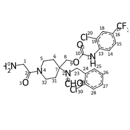 NCC(=O)N1CCC(COC(=O)Nc2ccc(C(F)(F)F)cc2Cl)(N(C=O)Cc2ccccc2Cl)CC1